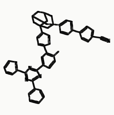 Cc1ccc(-c2nc(-c3ccccc3)nc(-c3ccccc3)n2)cc1-c1ccc(C23CC4CC(CC(c5ccc(-c6ccc(C#N)cc6)cc5)(C4)C2)C3)cc1